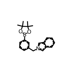 CC1(C)OB(c2cccc(Cn3cc4ccccc4c3)c2)OC1(C)C